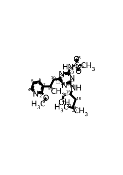 COc1ncccc1C(C)Cc1nc(N[C@@H](CO)CC(C)C)nc(NS(C)(=O)=O)n1